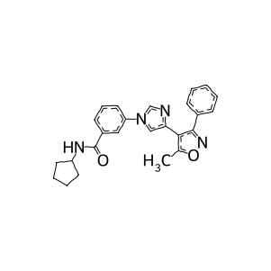 Cc1onc(-c2ccccc2)c1-c1cn(-c2cccc(C(=O)NC3CCCC3)c2)cn1